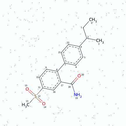 CCC(C)c1ccc(-c2ccc(S(C)(=O)=O)cc2C(N)=O)cc1